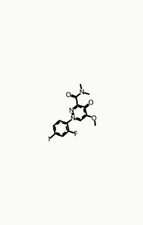 COc1cn(-c2ccc(I)cc2F)nc(C(=O)N(C)C)c1=O